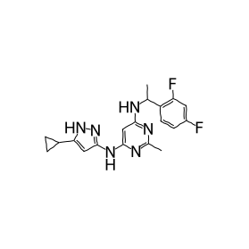 Cc1nc(Nc2cc(C3CC3)[nH]n2)cc(NC(C)c2ccc(F)cc2F)n1